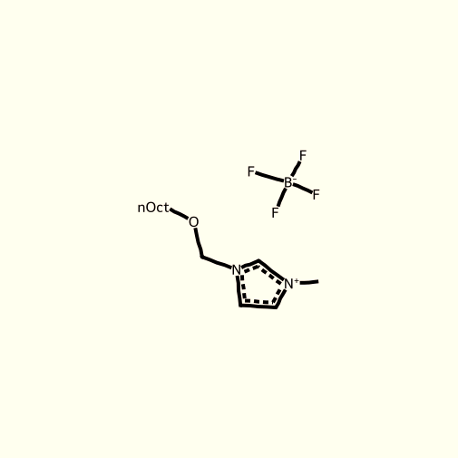 CCCCCCCCOCn1cc[n+](C)c1.F[B-](F)(F)F